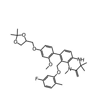 C=C1N(C)c2c(ccc(-c3ccc(OCC4COC(C)(C)O4)cc3OC)c2COc2cc(F)ccc2C)NC1(C)C